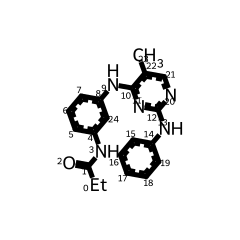 CCC(=O)Nc1cccc(Nc2nc(Nc3ccccc3)ncc2C)c1